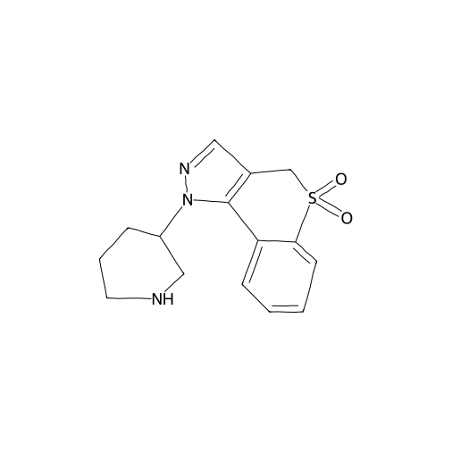 O=S1(=O)Cc2cnn(C3CCCNC3)c2-c2ccccc21